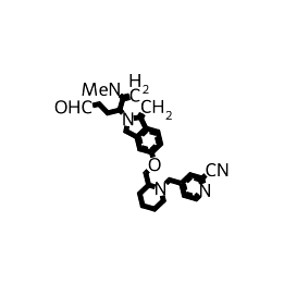 C=C(NC)C(CCC=O)N1Cc2cc(OCC3CCCCN3Cc3ccnc(C#N)c3)ccc2C1=C